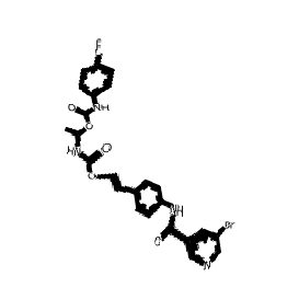 CC(NC(=O)OCCc1ccc(NC(=O)c2cncc(Br)c2)cc1)OC(=O)Nc1ccc(F)cc1